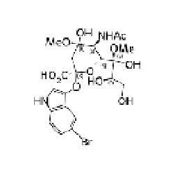 CO[C@@](O)([C@H](O)CO)[C@@H]1O[C@](Oc2c[nH]c3ccc(Br)cc23)(C(=O)O)C[C@@](O)(OC)[C@H]1NC(C)=O